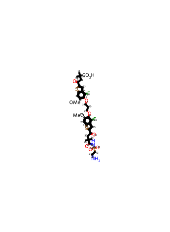 COc1cc2sc(C(=O)CC(C)(C)C(=O)O)cc2c(F)c1OCCCOc1c(OC)cc2sc(C(=O)CC(C)(C)C(=O)NS(=O)(=O)CCN)cc2c1F